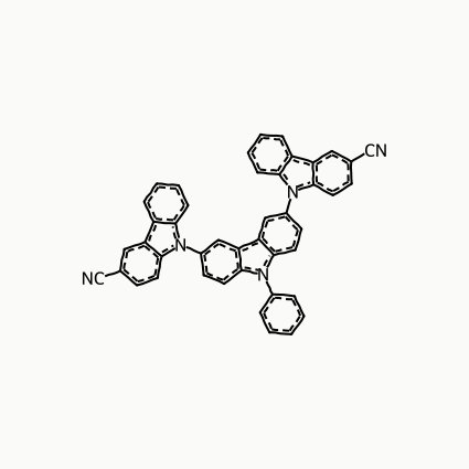 N#Cc1ccc2c(c1)c1ccccc1n2-c1ccc2c(c1)c1cc(-n3c4ccccc4c4cc(C#N)ccc43)ccc1n2-c1ccccc1